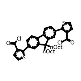 CCCCCCCCC1(CCCCCCCC)c2cc(-c3sccc3C(=O)Cl)ccc2-c2ccc(-c3sccc3C(=O)Cl)cc21